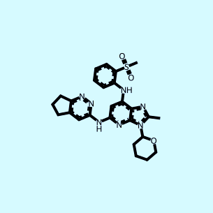 Cc1nc2c(Nc3ccccc3S(C)(=O)=O)cc(Nc3cc4c(nn3)CCC4)nc2n1C1CCCCO1